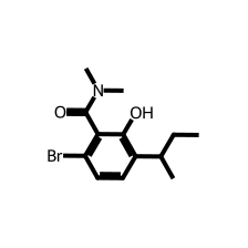 CCC(C)c1ccc(Br)c(C(=O)N(C)C)c1O